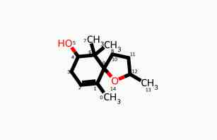 CC1=CCC(O)C(C)(C)C12CCC(C)O2